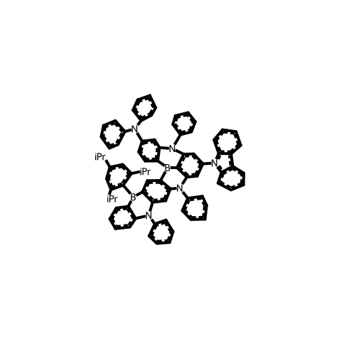 CC(C)c1cc(C(C)C)c(B2c3ccccc3N(c3ccccc3)c3cc4c(cc32)B2c3ccc(N(c5ccccc5)c5ccccc5)cc3N(c3ccccc3)c3cc(-n5c6ccccc6c6ccccc65)cc(c32)N4c2ccccc2)c(C(C)C)c1